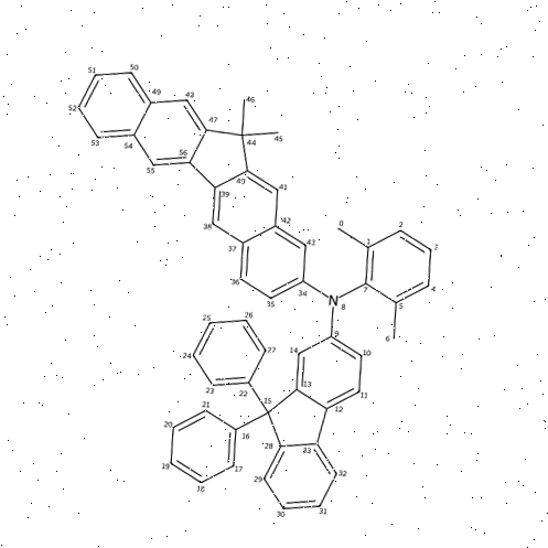 Cc1cccc(C)c1N(c1ccc2c(c1)C(c1ccccc1)(c1ccccc1)c1ccccc1-2)c1ccc2cc3c(cc2c1)C(C)(C)c1cc2ccccc2cc1-3